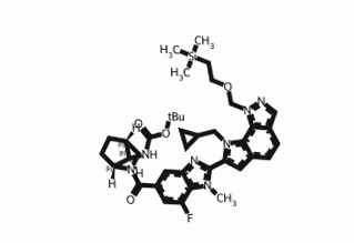 Cn1c(-c2cc3ccc4cnn(COCC[Si](C)(C)C)c4c3n2CC2CC2)nc2cc(C(=O)N3C[C@H]4CC[C@@H]3[C@@H]4NC(=O)OC(C)(C)C)cc(F)c21